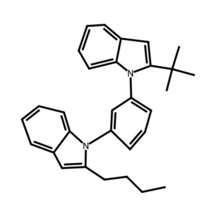 CCCCc1cc2ccccc2n1-c1cccc(-n2c(C(C)(C)C)cc3ccccc32)c1